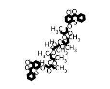 CCC(OC(C)CC(C)(CC)OCC(C)(C)COC(C)CC(C)OC(C)(CC)C(=O)COc1ccc(Cl)c2c(=O)c3ccccc3sc12)C(=O)COc1ccc(Cl)c2c(=O)c3ccccc3sc12